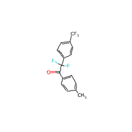 Cc1ccc(C(=O)C(F)(F)c2ccc(C(F)(F)F)cc2)cc1